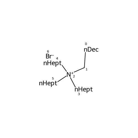 CCCCCCCCCCC[N+](CCCCCCC)(CCCCCCC)CCCCCCC.[Br-]